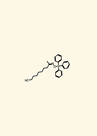 CC(CCCCCCCC#N)=NO[Si](c1ccccc1)(c1ccccc1)c1ccccc1